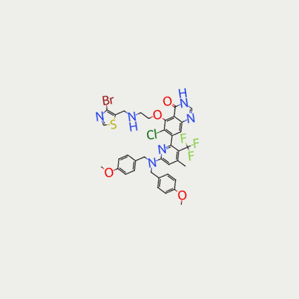 COc1ccc(CN(Cc2ccc(OC)cc2)c2cc(C)c(C(F)(F)F)c(-c3cc4nc[nH]c(=O)c4c(OCCNCc4scnc4Br)c3Cl)n2)cc1